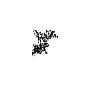 CCOc1ccc(C(=O)N[C@@H](CCCNC(=N)NC)C(=O)N[C@@H](CC(C)C)B2O[C@@H]3C[C@@H]4C[C@@H](C4(C)C)[C@]3(C)O2)cc1